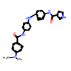 CN(C)c1ccc(C(=O)Nc2ccc(Nc3ccc(NC(=O)c4cc[nH]c4)cc3)cc2)cc1